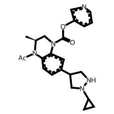 CC(=O)N1c2ccc(C3CNN(C4CC4)C3)cc2N(C(=O)Oc2cccnc2)C[C@@H]1C